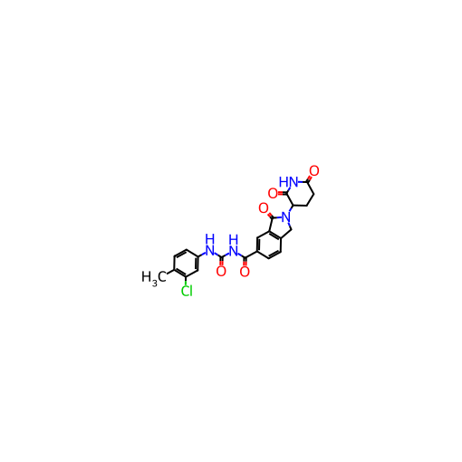 Cc1ccc(NC(=O)NC(=O)c2ccc3c(c2)C(=O)N(C2CCC(=O)NC2=O)C3)cc1Cl